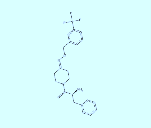 N[C@@H](Cc1ccccc1)C(=O)N1CCC(=NOCc2cccc(C(F)(F)F)c2)CC1